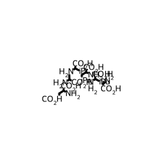 CC(C)C(N)C(=O)O.CC(C)CC(N)C(=O)O.CC(N)C(=O)O.CCC(C)C(N)C(=O)O.NC(CC(=O)O)C(=O)O.NCC(=O)O